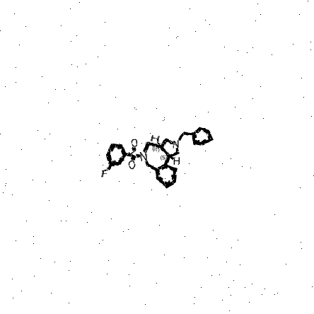 O=S(=O)(c1cccc(F)c1)N1Cc2ccccc2[C@H]2CN(Cc3ccccc3)C[C@@H]2C1